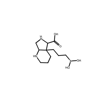 O=C(O)C1NCC2NCCCC21CCCB(O)O